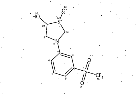 O=S(=O)(c1cccc(N2CC(O)[S+]([O-])C2)c1)C(F)(F)F